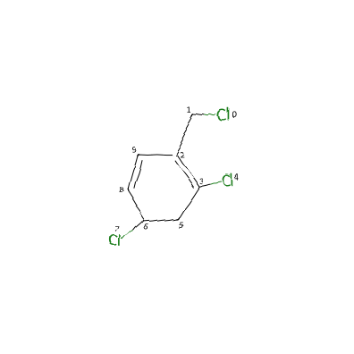 ClCC1=C(Cl)CC(Cl)C=C1